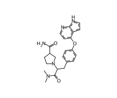 CN(C)C(=O)C(Cc1ccc(Oc2ccnc3[nH]ccc23)cc1)N1CCC(C(N)=O)C1